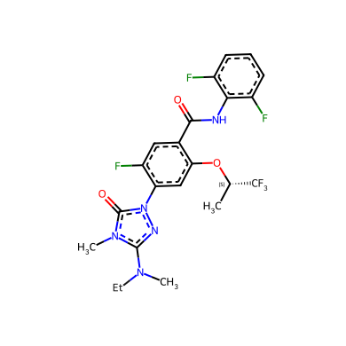 CCN(C)c1nn(-c2cc(O[C@@H](C)C(F)(F)F)c(C(=O)Nc3c(F)cccc3F)cc2F)c(=O)n1C